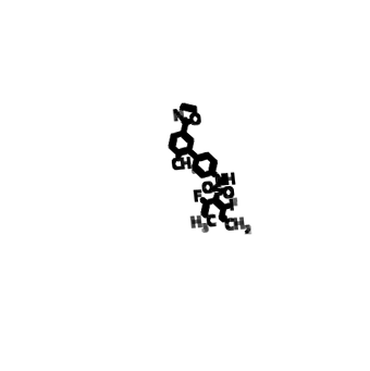 C=C/C(F)=C(\C(F)=C/C)S(=O)(=O)Nc1ccc(-c2cc(-c3ncco3)ccc2C)cc1